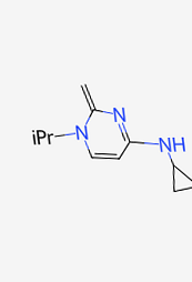 C=C1N=C(NC2CC2)C=CN1C(C)C